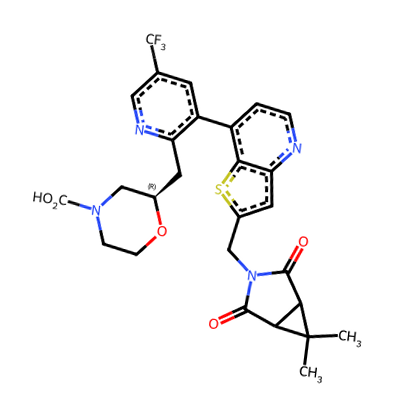 CC1(C)C2C(=O)N(Cc3cc4nccc(-c5cc(C(F)(F)F)cnc5C[C@@H]5CN(C(=O)O)CCO5)c4s3)C(=O)C21